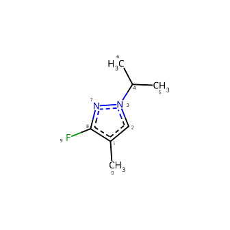 Cc1cn(C(C)C)nc1F